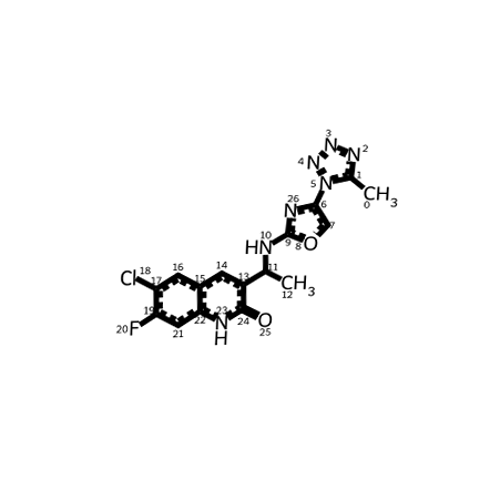 Cc1nnnn1-c1coc(NC(C)c2cc3cc(Cl)c(F)cc3[nH]c2=O)n1